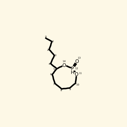 CCCCCC1CCCCCO[PH](=O)O1